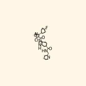 Cc1onc(-c2ccc(F)cc2)c1C(=O)c1c[nH]c2cc(C(=O)NCc3ccccn3)ccc12